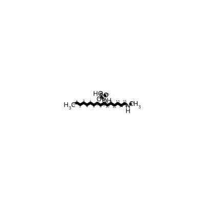 CCCCCCCCCCCCCCCCNC.O=S(=O)(O)O